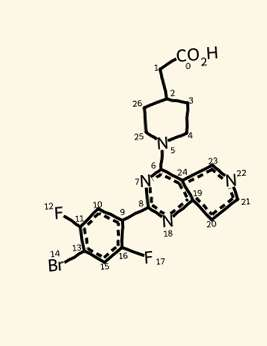 O=C(O)CC1CCN(c2nc(-c3cc(F)c(Br)cc3F)nc3ccncc23)CC1